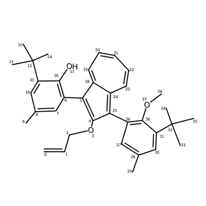 C=CCOc1c(-c2cc(C)cc(C(C)(C)C)c2O)c2cccccc-2c1-c1cc(C)cc(C(C)(C)C)c1OC